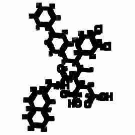 CC(C(Cc1ccc(-c2ccccc2)cc1)c1ccc(Cl)c(Cl)c1)C(C(=O)NCc1ccc2ccccc2c1)C(CC(=O)O)C(=O)O